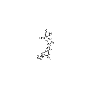 CCOc1nc(=O)[nH]cc1-c1ccc(NC(=O)Nc2ccc(OC3(C)COC3)c(C(F)(F)F)c2)c(F)c1